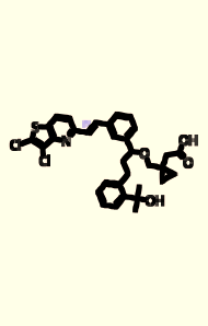 CC(C)(O)c1ccccc1CCC(OCC1(CC(=O)O)CC1)c1cccc(/C=C/c2ccc3sc(Cl)c(Cl)c3n2)c1